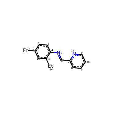 CCc1ccc(N=Cc2ccccn2)c(CC)c1